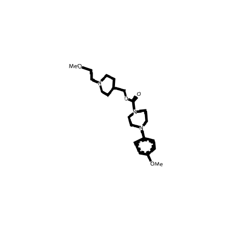 COCCN1CCC(COC(=O)N2CCN(c3ccc(OC)cc3)CC2)CC1